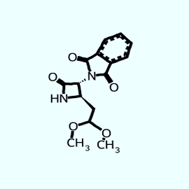 COC(C[C@H]1NC(=O)[C@@H]1N1C(=O)c2ccccc2C1=O)OC